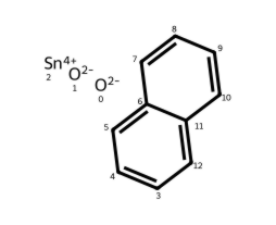 [O-2].[O-2].[Sn+4].c1ccc2ccccc2c1